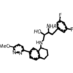 COc1ccc(-c2ccc3c(c2)C(NCC(O)C(Cc2cc(F)cc(F)c2)NC(C)=O)CCC3)nn1